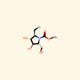 CC(=O)C[C@@H]1[C@@H](O)[C@H](O)[C@@H](CO)N1C(=O)OC(C)(C)C